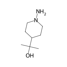 CC(C)(O)C1CCN(N)CC1